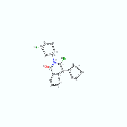 O=c1c2ccccc2c(-c2ccccc2)c(Br)n1-c1cccc(F)c1